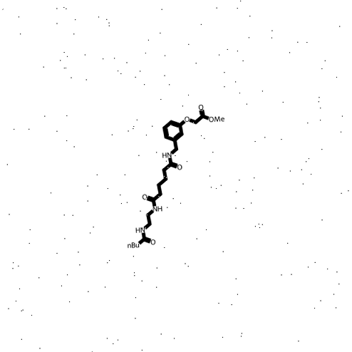 CCCCC(=O)NCCNC(=O)CCCCC(=O)NCc1cccc(OCC(=O)OC)c1